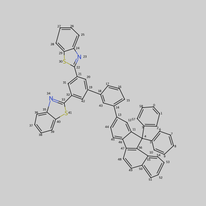 c1ccc(C2(c3ccccc3)c3cc(-c4cccc(-c5cc(-c6nc7ccccc7s6)cc(-c6nc7ccccc7s6)c5)c4)ccc3-c3ccc4ccccc4c32)cc1